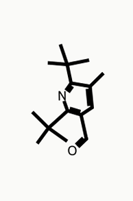 Cc1cc(C=O)c(C(C)(C)C)nc1C(C)(C)C